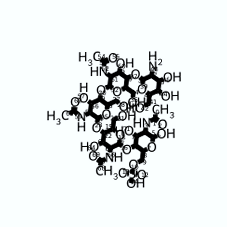 CC(=O)NC1C(O)OC(COS(=O)(=O)O)C(OC2OC(CO)C(OC3OC(CO)C(OC4OC(CO)C(OC5OC(CO)C(O)C(O)C5N)C(O)C4NC(C)=O)C(O)C3NC(C)=O)C(O)C2NC(C)=O)C1O